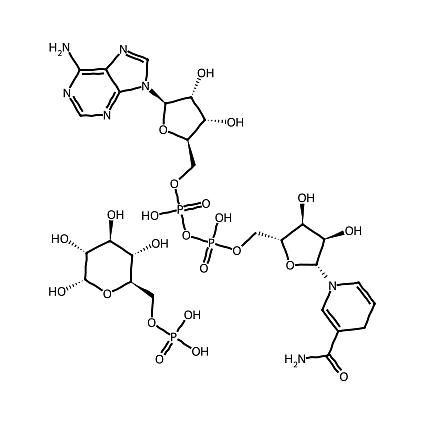 NC(=O)C1=CN([C@@H]2O[C@H](COP(=O)(O)OP(=O)(O)OC[C@H]3O[C@@H](n4cnc5c(N)ncnc54)[C@H](O)[C@@H]3O)[C@@H](O)[C@H]2O)C=CC1.O=P(O)(O)OC[C@H]1O[C@H](O)[C@H](O)[C@@H](O)[C@@H]1O